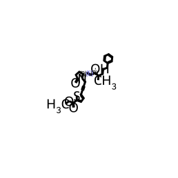 COC(=O)c1ccc(C#CCN2C(=O)CC[C@@H]2/C=C/[C@H](O)C(C)CCCc2ccccc2)s1